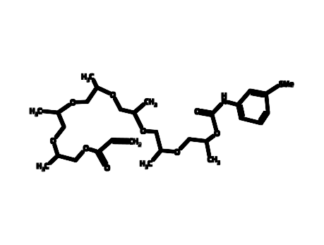 C=CC(=O)OCC(C)OCC(C)OCC(C)OCC(C)OCC(C)OCC(C)OC(=O)Nc1cccc(SC)c1